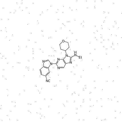 [C-]#[N+]c1ccc2ncn(-c3ncc4nc(NCC)n(C5CCOCC5)c4n3)c2c1